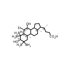 BC1(B)C[C@]2(C)C3CC[C@@]4(C)C(CCC4[C@H](C)CCC(=O)O)C3[C@H](O)[C@H](CC)[C@@H]2C(B)(B)[C@@H]1O